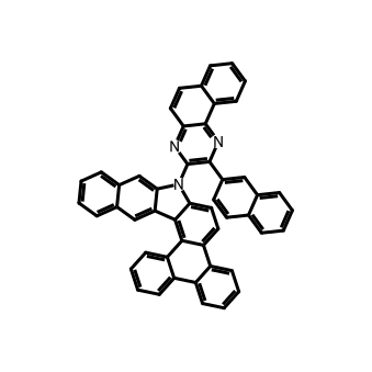 c1ccc2cc(-c3nc4c(ccc5ccccc54)nc3-n3c4cc5ccccc5cc4c4c5c6ccccc6c6ccccc6c5ccc43)ccc2c1